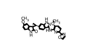 COc1ccc2c(c1)[C@]1(C[C@H]1c1ccc3c(Nc4nc(-c5ncco5)ccc4OC)n[nH]c3c1)C(=O)N2